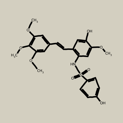 COc1cc(NS(=O)(=O)c2ccc(O)cc2)c(C=Cc2cc(OC)c(OC)c(OC)c2)cc1O